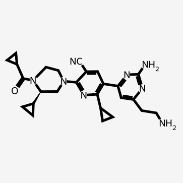 N#Cc1cc(-c2cc(CCN)nc(N)n2)c(C2CC2)nc1N1CCN(C(=O)C2CC2)[C@H](C2CC2)C1